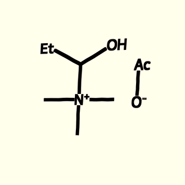 CC(=O)[O-].CCC(O)[N+](C)(C)C